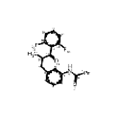 CC(C)C(=O)Nc1cccc(CC(C)C(=O)c2c(F)cccc2F)c1